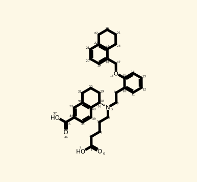 O=C(O)CCCCN(CCc1ccccc1OCc1cccc2c1CCCC2)[C@H]1CCCc2cc(C(=O)O)ccc21